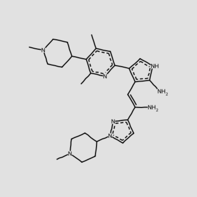 Cc1cc(-c2c[nH]c(N)c2/C=C(\N)c2ccn(C3CCN(C)CC3)n2)nc(C)c1C1CCN(C)CC1